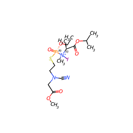 CCO[P@@](=O)(SCCN(C#N)CC(=O)OC)[N+](C)(I)[C@@H](C)C(=O)OC(C)C